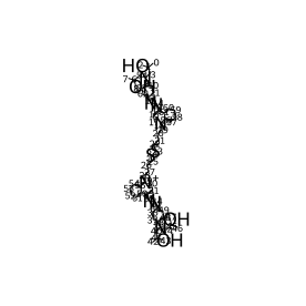 CC(O)CN(CC(C)O)c1ccc(/N=N/c2cc[n+](CCCCSSCCCC[n+]3ccc(/N=N/c4ccc(N(CC(C)O)CC(C)O)cc4)c4ccccc43)c3ccccc23)cc1